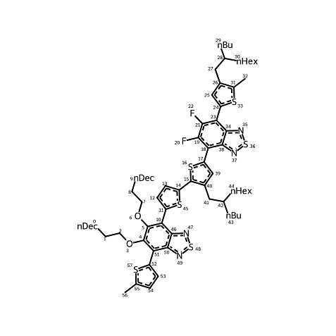 CCCCCCCCCCCCOc1c(OCCCCCCCCCCCC)c(-c2ccc(-c3sc(-c4c(F)c(F)c(-c5cc(CC(CCCC)CCCCCC)c(C)s5)c5nsnc45)cc3CC(CCCC)CCCCCC)s2)c2nsnc2c1-c1ccc(C)s1